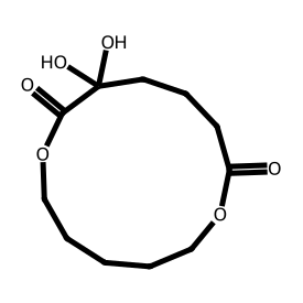 O=C1CCCC(O)(O)C(=O)OCCCCCO1